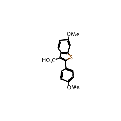 COc1ccc(-c2sc3cc(OC)ccc3c2C(=O)O)cc1